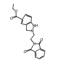 CCOC(=O)c1ccc2c(c1)CN(CCN1C(=O)c3ccccc3C1=O)N2